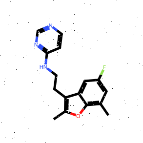 Cc1oc2c(C)cc(F)cc2c1CCNc1ccncn1